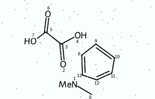 CNC.O=C(O)C(=O)O.c1ccccc1